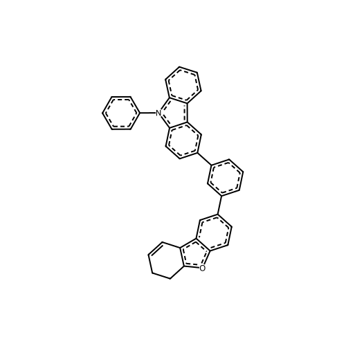 C1=Cc2c(oc3ccc(-c4cccc(-c5ccc6c(c5)c5ccccc5n6-c5ccccc5)c4)cc23)CC1